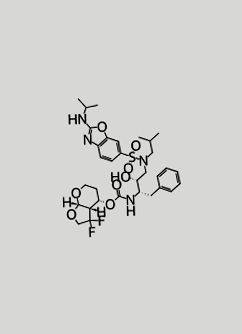 CC(C)CN(C[C@@H](O)[C@H](Cc1ccccc1)NC(=O)O[C@H]1CCO[C@H]2OCC(F)(F)[C@H]21)S(=O)(=O)c1ccc2nc(NC(C)C)oc2c1